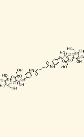 O=C(CCCCC(=O)Nc1ccc(S[C@@H]2O[C@H](CO)[C@@H](O[C@H]3O[C@H](CO)[C@@H](O)[C@H](O)[C@H]3O)[C@H](O)[C@H]2O)cc1)Nc1ccc(S[C@@H]2O[C@H](CO)[C@@H](O[C@H]3O[C@H](CO)[C@@H](O)[C@H](O)[C@H]3O)[C@H](O)[C@H]2O)cc1